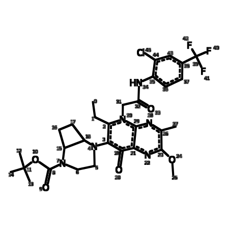 CCc1c(N2CCN(C(=O)OC(C)(C)C)C3CCC32)c(=O)c2nc(OC)c(C)nc2n1CC(=O)Nc1ccc(C(F)(F)F)cc1Cl